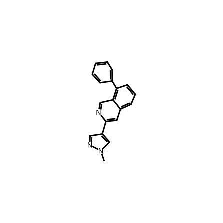 Cn1cc(-c2cc3cccc(-c4ccccc4)c3cn2)cn1